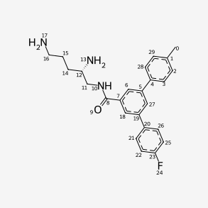 Cc1ccc(-c2cc(C(=O)NC[C@@H](N)CCCN)cc(-c3ccc(F)cc3)c2)cc1